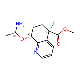 COC(=O)[C@]1(F)CC[C@@H](O[C@H](C)N)c2ncccc21